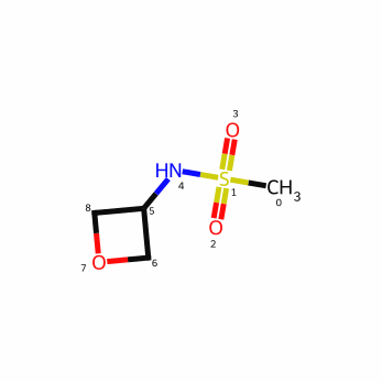 CS(=O)(=O)NC1COC1